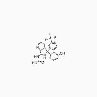 O=C(O)NC1NC(c2cccc(O)c2)(c2ccnc(C(F)(F)F)c2)c2cccnc21